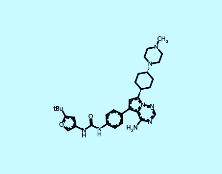 CN1CCN([C@H]2CC[C@H](c3cc(-c4ccc(NC(=O)Nc5coc(C(C)(C)C)c5)cc4)c4c(N)ncnn43)CC2)CC1